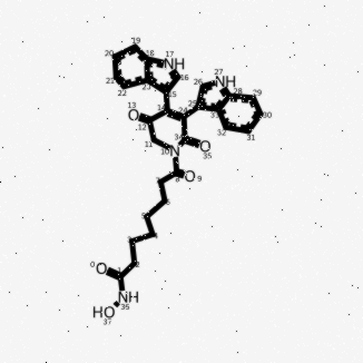 O=C(CCCCCCC(=O)N1CC(=O)C(c2c[nH]c3ccccc23)=C(c2c[nH]c3ccccc23)C1=O)NO